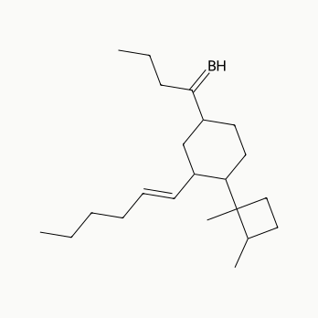 B=C(CCC)C1CCC(C2(C)CCC2C)C(C=CCCCC)C1